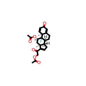 CC(=O)OCC(=O)C1=CC[C@H]2[C@@H]3CCC4=CC(=O)C=C[C@]4(C)[C@@]3(F)[C@@H](OC(C)=O)C[C@]12C